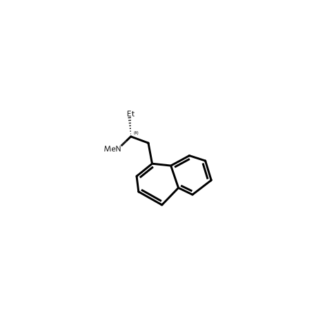 CC[C@H](Cc1cccc2ccccc12)NC